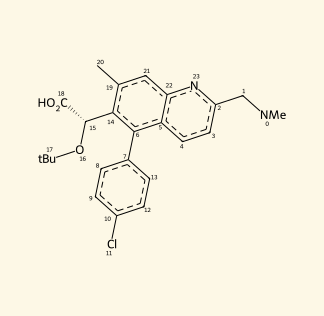 CNCc1ccc2c(-c3ccc(Cl)cc3)c([C@H](OC(C)(C)C)C(=O)O)c(C)cc2n1